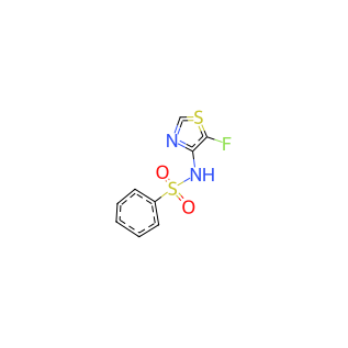 O=S(=O)(Nc1ncsc1F)c1ccccc1